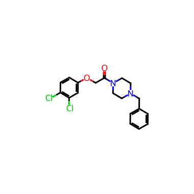 O=C(COc1ccc(Cl)c(Cl)c1)N1CCN(Cc2ccccc2)CC1